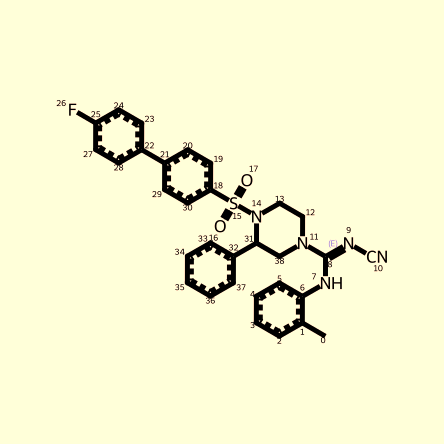 Cc1ccccc1N/C(=N\C#N)N1CCN(S(=O)(=O)c2ccc(-c3ccc(F)cc3)cc2)C(c2ccccc2)C1